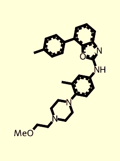 COCCN1CCN(c2ccc(Nc3nc4cccc(-c5ccc(C)cc5)c4o3)cc2C)CC1